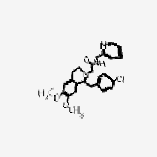 COc1cc2c(cc1OC)C(Cc1ccc(Cl)cc1)N(CC(=O)NCc1ccccn1)CC2